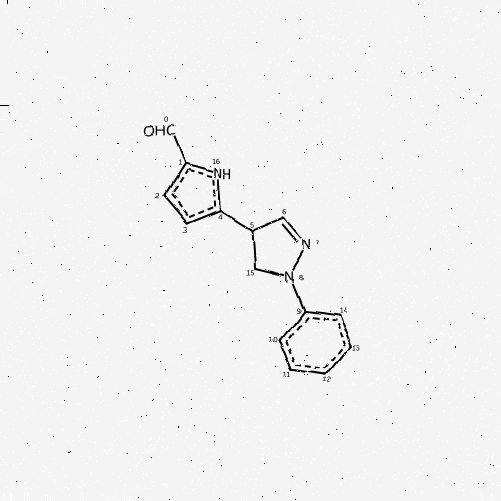 O=Cc1ccc(C2C=NN(c3ccccc3)C2)[nH]1